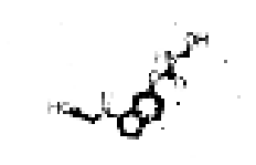 C#CCN[C@@H]1CCc2ccc(OC(=O)NCO)cc21